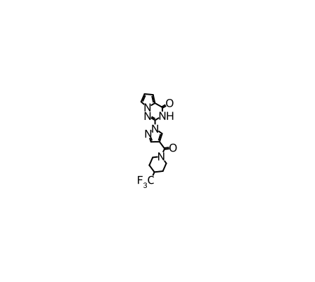 O=C(c1cnn(-c2nn3cccc3c(=O)[nH]2)c1)N1CCC(C(F)(F)F)CC1